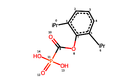 CC(C)c1cccc(C(C)C)c1OC(=O)P(=O)(O)O